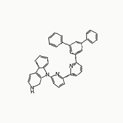 C1=Cc2c(n(-c3cccc(-c4cccc(-c5cc(-c6ccccc6)cc(-c6ccccc6)c5)n4)n3)c3ccccc23)CN1